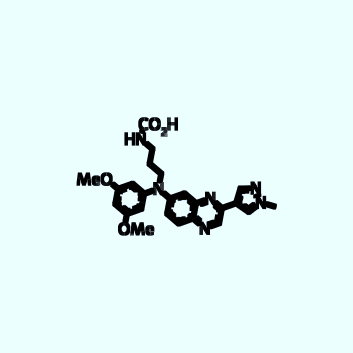 COc1cc(OC)cc(N(CCCNC(=O)O)c2ccc3ncc(-c4cnn(C)c4)nc3c2)c1